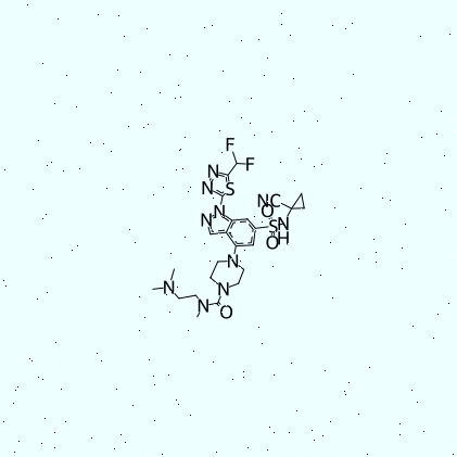 CN(C)CCN(C)C(=O)N1CCN(c2cc(S(=O)(=O)NC3(C#N)CC3)cc3c2cnn3-c2nnc(C(F)F)s2)CC1